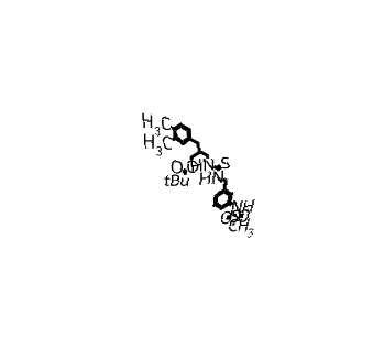 Cc1ccc(CC(CNC(=S)NCc2cccc(NS(C)(=O)=O)c2)COC(=O)C(C)(C)C)cc1C